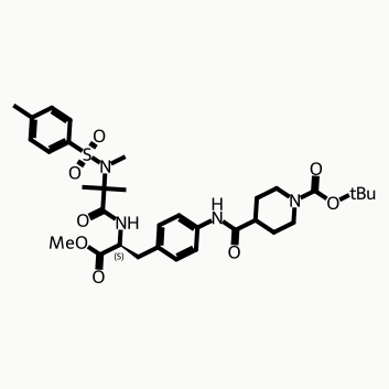 COC(=O)[C@H](Cc1ccc(NC(=O)C2CCN(C(=O)OC(C)(C)C)CC2)cc1)NC(=O)C(C)(C)N(C)S(=O)(=O)c1ccc(C)cc1